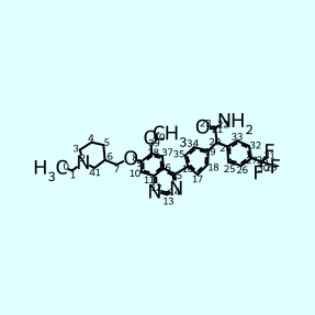 CCN1CCCC(COc2cc3ncnc(-c4ccc(C(C(N)=O)c5ccc(C(F)(F)F)cc5)cc4)c3cc2OC)C1